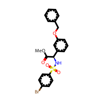 COC(=O)[C@H](NS(=O)(=O)c1ccc(Br)cc1)c1cccc(OCc2ccccc2)c1